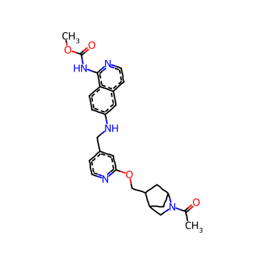 COC(=O)Nc1nccc2cc(NCc3ccnc(OCC4CC5CC4CN5C(C)=O)c3)ccc12